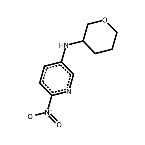 O=[N+]([O-])c1ccc(NC2CCCOC2)cn1